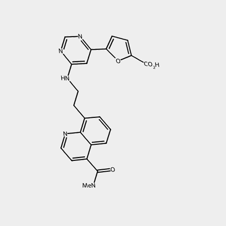 CNC(=O)c1ccnc2c(CCNc3cc(-c4ccc(C(=O)O)o4)ncn3)cccc12